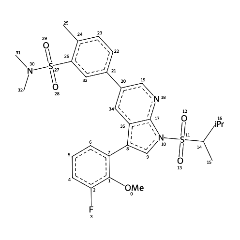 COc1c(F)cccc1-c1cn(S(=O)(=O)C(C)C(C)C)c2ncc(-c3ccc(C)c(S(=O)(=O)N(C)C)c3)cc12